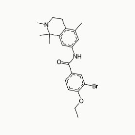 CCOc1ccc(C(=O)Nc2cc(C)c3c(c2)C(C)(C)N(C)CC3)cc1Br